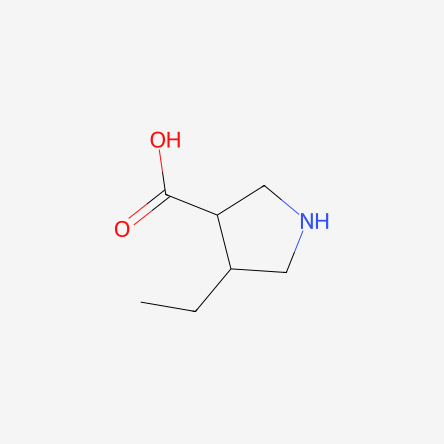 CCC1CNCC1C(=O)O